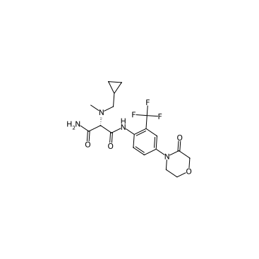 CN(CC1CC1)[C@@H](C(N)=O)C(=O)Nc1ccc(N2CCOCC2=O)cc1C(F)(F)F